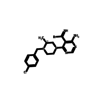 C[C@H]1CN(c2ncnc(N)c2C(=N)Br)CCN1Cc1ccc(Cl)cc1